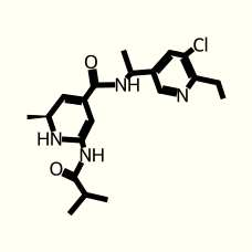 CCc1ncc(C(C)NC(=O)C2=C[C@H](C)NC(NC(=O)C(C)C)=C2)cc1Cl